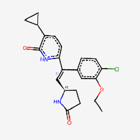 CCOc1cc(/C(=C\[C@H]2CCC(=O)N2)c2ccc(C3CC3)c(=O)[nH]2)ccc1Cl